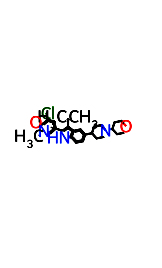 CC(C)c1c(-c2cc(Cl)c(=O)n(C)c2)[nH]c2ccc(C3CCN(C4CCOCC4)CC3)cc12